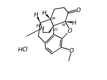 COc1ccc2c3c1O[C@H]1C(=O)CC[C@H]4[C@@H](C2)N(C)CC[C@]314.Cl